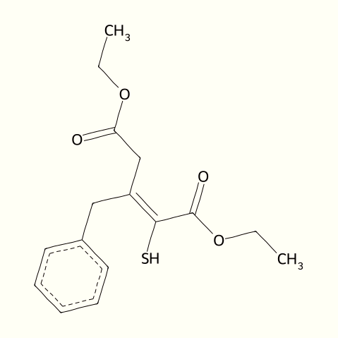 CCOC(=O)CC(Cc1ccccc1)=C(S)C(=O)OCC